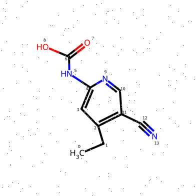 CCc1cc(NC(=O)O)ncc1C#N